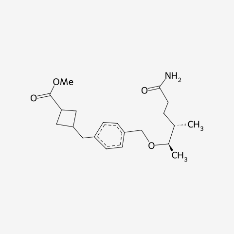 COC(=O)C1CC(Cc2ccc(CO[C@H](C)[C@@H](C)CCC(N)=O)cc2)C1